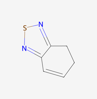 C1=Cc2nsnc2CC1